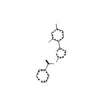 COc1ccc(-c2csc(NC(=O)c3ccncc3)n2)c(F)c1